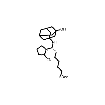 CCCCCCCCCCCCCCC[C@@H](NC12CC3CC(CC(O)(C3)C1)C2)N1CCCC1C#N